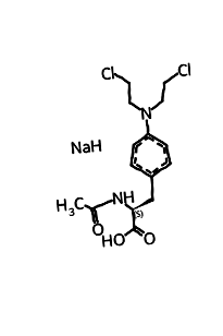 CC(=O)N[C@@H](Cc1ccc(N(CCCl)CCCl)cc1)C(=O)O.[NaH]